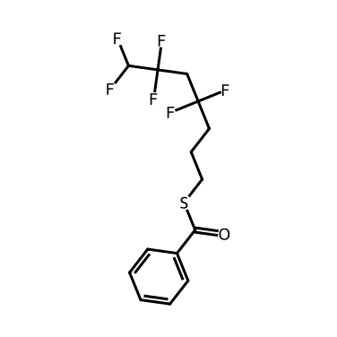 O=C(SCCCC(F)(F)CC(F)(F)C(F)F)c1ccccc1